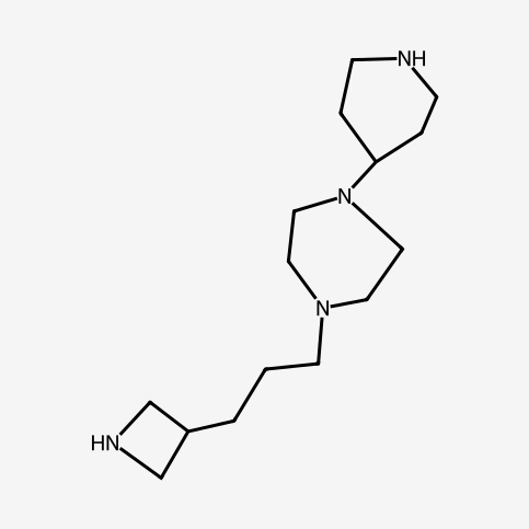 C(CC1CNC1)CN1CCN(C2CCNCC2)CC1